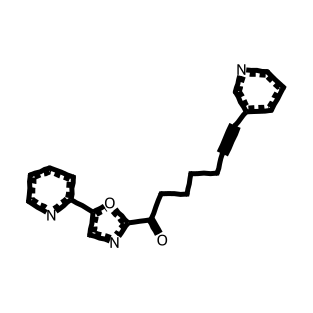 O=C(CCCCC#Cc1cccnc1)c1ncc(-c2ccccn2)o1